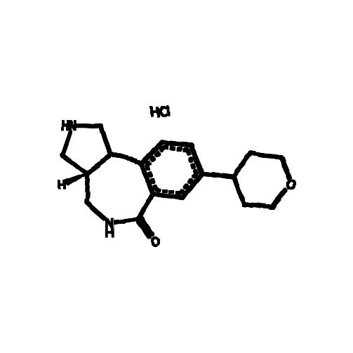 Cl.O=C1NC[C@@H]2CNCC2c2ccc(C3CCOCC3)cc21